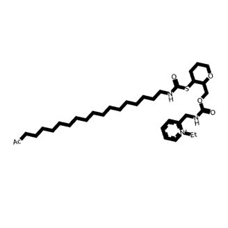 CC[n+]1ccccc1CNC(=O)OCC1OCCCC1SC(=O)NCCCCCCCCCCCCCCCCCC(C)=O